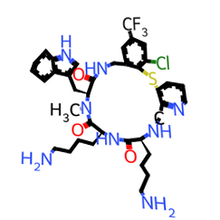 CN1C(=O)[C@H](CCCCN)NC(=O)[C@H](CCCCN)NCc2ncccc2Sc2c(Cl)cc(C(F)(F)F)cc2CNC(=O)[C@@H]1Cc1c[nH]c2ccccc12